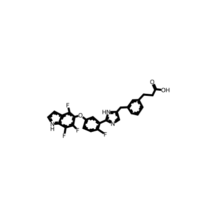 O=C(O)CCc1cccc(Cc2cnc(-c3cc(Oc4c(F)c(F)c5[nH]ccc5c4F)ccc3F)[nH]2)c1